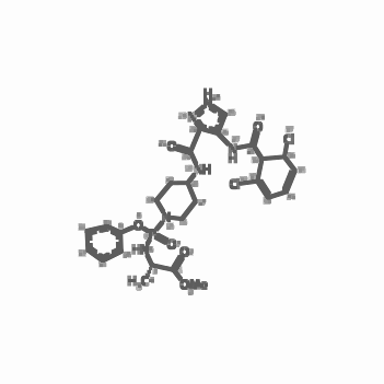 COC(=O)[C@H](C)NP(=O)(Oc1ccccc1)N1CCC(NC(=O)c2n[nH]cc2NC(=O)C2C(Cl)=CC=CC2Cl)CC1